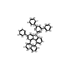 c1ccc(-c2cc3c4c5c(cccc5n(-c5nc(-c6ccccc6)cc(-c6ccccc6)n5)c4c2)-c2cccc4cccc-3c24)cc1